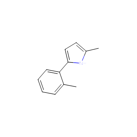 Cc1ccc(-c2ccccc2C)[nH]1